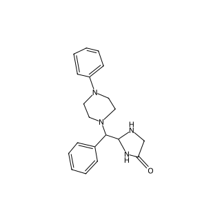 O=C1CNC(C(c2ccccc2)N2CCN(c3ccccc3)CC2)N1